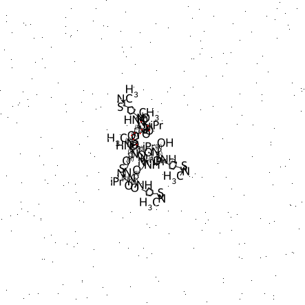 Cc1nnc([C@H](C(=O)N2C[C@H](Oc3cc([C@H](C(=O)N4C[C@H](OCc5nc([C@H](C(=O)N6C[C@H](OCc7nnc([C@H](C(=O)N8C[C@H](O)C[C@H]8C(=O)NCc8ccc(-c9scnc9C)cc8)C(C)C)[nH]7)C[C@H]6C(=O)NCc6ccc(-c7scnc7C)cc6)C(C)C)ns5)C[C@H]4C(=O)N[C@@H](C)c4ccc(-c5cnco5)cc4)C(C)C)on3)C[C@H]2C(=O)NCc2ccc(-c3scnc3C)cc2)C(C)C)o1